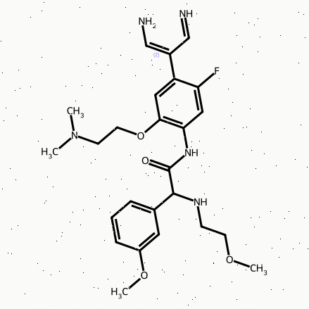 COCCNC(C(=O)Nc1cc(F)c(/C(C=N)=C/N)cc1OCCN(C)C)c1cccc(OC)c1